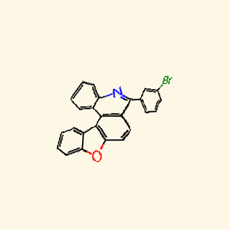 Brc1cccc(-c2nc3ccccc3c3c2ccc2oc4ccccc4c23)c1